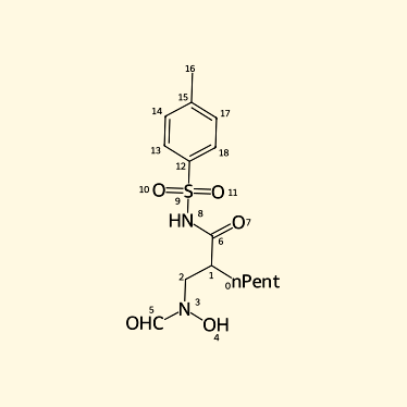 CCCCCC(CN(O)C=O)C(=O)NS(=O)(=O)c1ccc(C)cc1